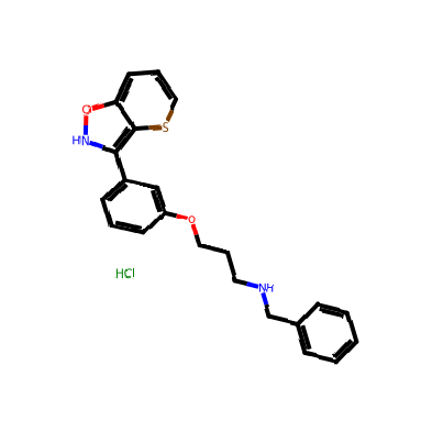 C1=CSC2=C(c3cccc(OCCCNCc4ccccc4)c3)NOC2=C1.Cl